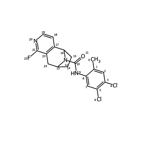 Cc1cc(Cl)c(Cl)cc1NC(=O)N1C2CCC1c1ccnc(F)c1C2